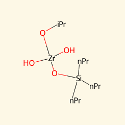 CCC[Si](CCC)(CCC)[O][Zr]([OH])([OH])[O]C(C)C